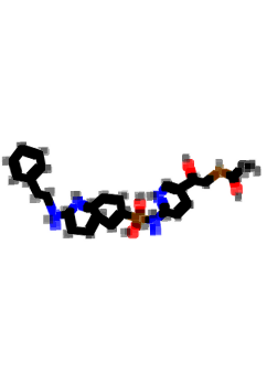 CC(=O)SCC(=O)c1ccc(NS(=O)(=O)c2ccc3nc(NCCc4ccccc4)ccc3c2)nc1